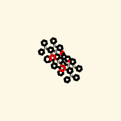 C1#CC(N2c3cc4c(cc3B3c5ccccc5N(c5ccccc5)c5cc(N(c6ccccc6)c6ccccc6)cc2c53)C2(c3ccccc3-c3ccccc32)c2cc3c(cc2N4c2c(C4=CCCC=C4)cccc2-c2ccccc2)N(c2ccccc2)c2cc(N(c4ccccc4)c4ccccc4)cc4c2B3c2ccccc2N4c2ccccc2)=CC=CC1